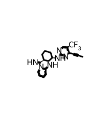 CC#Cc1nc(N[C@@H]2CCC[C@H](C(=N)n3ccccc3=N)C2)ncc1C(F)(F)F